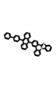 c1ccc(-c2ccc(-c3c4ccccc4c(-c4ccc5c(c4)c4ccccc4n4c6ccccc6nc54)c4ccccc34)cc2)cc1